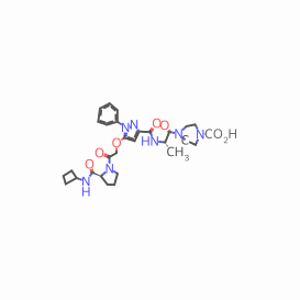 C[C@H](NC(=O)c1cc(OCC(=O)N2CCC[C@H]2C(=O)NC2CCC2)n(-c2ccccc2)n1)C(=O)N1CCN(C(=O)O)CC1